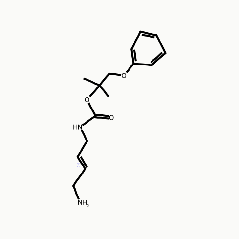 CC(C)(COc1ccccc1)OC(=O)NC/C=C/CN